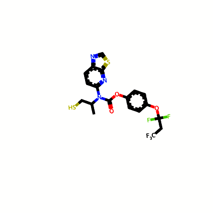 CC(CS)N(C(=O)Oc1ccc(OC(F)(F)CC(F)(F)F)cc1)c1ccc2ncsc2n1